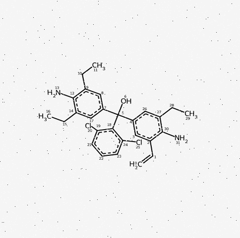 C=Cc1cc(C(O)(c2cc(CC)c(N)c(CC)c2)c2c(Cl)cccc2Cl)cc(CC)c1N